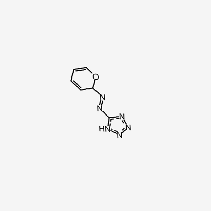 C1=COC(N=Nc2nnn[nH]2)C=C1